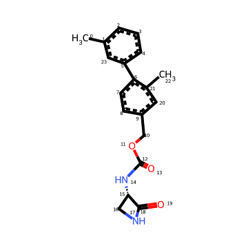 Cc1cccc(-c2ccc(COC(=O)N[C@H]3CNC3=O)cc2C)c1